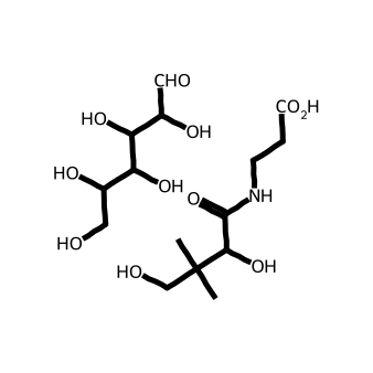 CC(C)(CO)C(O)C(=O)NCCC(=O)O.O=CC(O)C(O)C(O)C(O)CO